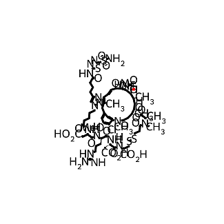 COc1cc2cc(c1Cl)N(C)C(=O)C[C@@H](OC(=O)[C@@H](C)N(C)C(=O)CCSSC[C@H](NC(=O)[C@H](CC(=O)O)NC(=O)[C@@H](CCCNC(=N)N)NC(=O)C(CC(=O)O)NC(=O)CCCCn1cc(CCCC(=O)Nc3nnc(S(N)(=O)=O)s3)nn1)C(=O)O)[C@]1(C)O[C@@H]1[C@@H](C)[C@H]1C[C@](O)(NC(=O)O1)[C@@H](OC)/C=C/C=C(\C)C2